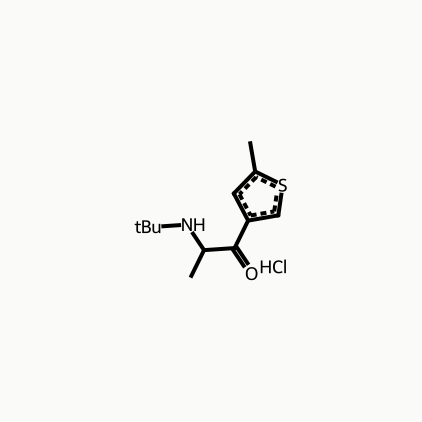 Cc1cc(C(=O)C(C)NC(C)(C)C)cs1.Cl